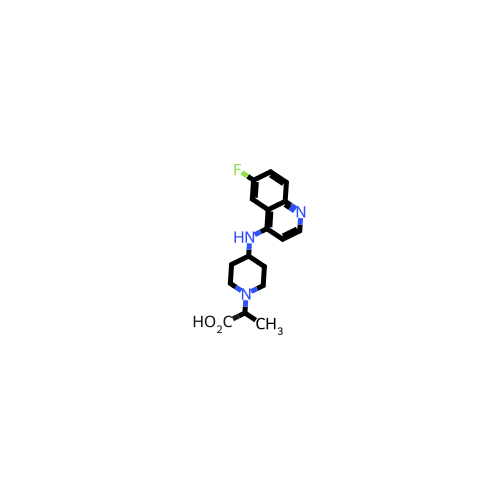 CC(C(=O)O)N1CCC(Nc2ccnc3ccc(F)cc23)CC1